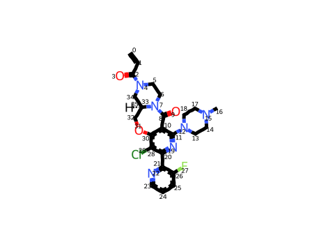 C=CC(=O)N1CCN2C(=O)c3c(N4CCN(C)CC4)nc(-c4ncccc4F)c(Cl)c3OC[C@H]2C1